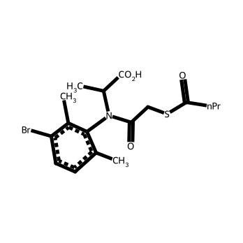 CCCC(=O)SCC(=O)N(c1c(C)ccc(Br)c1C)C(C)C(=O)O